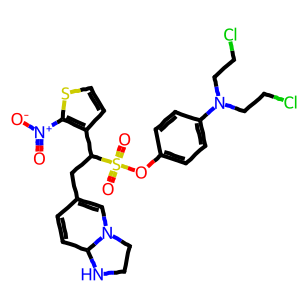 O=[N+]([O-])c1sccc1C(CC1=CN2CCNC2C=C1)S(=O)(=O)Oc1ccc(N(CCCl)CCCl)cc1